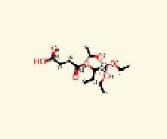 CCO[Si](OCC)(OCC)C(CC)OC(=O)CCC(=O)O